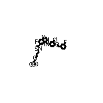 CS(=O)(=O)CCOCCCc1nc(-c2cc3c(Nc4ccc(OCc5cccc(F)c5)c(Cl)c4)ncnc3cc2F)cs1